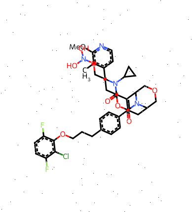 COc1nccc(CN(C(=O)C2=C(c3ccc(CCCOc4c(F)ccc(F)c4Cl)cc3)CC3COCC2N3C(=O)OCCCCON(O)O)C2CC2)c1C